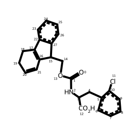 O=C(NC(Cc1ccccc1Cl)C(=O)O)OCC1C2=C(CCC=C2)c2ccccc21